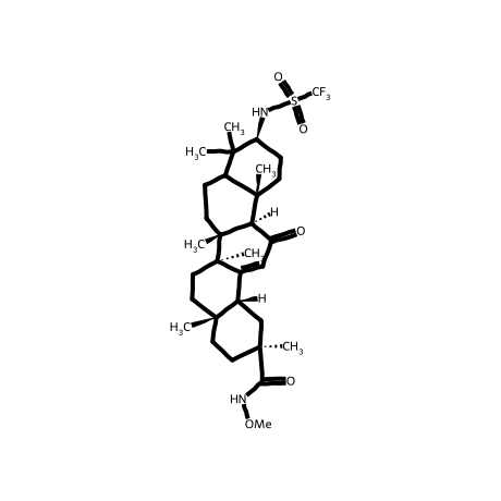 CONC(=O)[C@@]1(C)CC[C@]2(C)CC[C@]3(C)C(=CC(=O)[C@@H]4[C@@]5(C)CC[C@H](NS(=O)(=O)C(F)(F)F)C(C)(C)C5CC[C@]43C)[C@@H]2C1